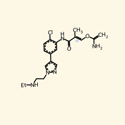 C=C(N)O/C=C(\C)C(=O)Nc1cc(-c2cnn(CCNCC)c2)ccc1Cl